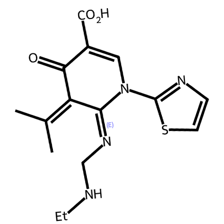 CCNC/N=C1\C(=C(C)C)C(=O)C(C(=O)O)=CN1c1nccs1